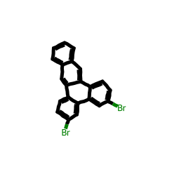 Brc1ccc2c(c1)c1cc(Br)ccc1c1cc3ccccc3cc21